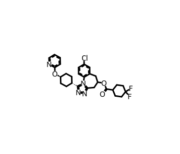 O=C(OC1Cc2cc(Cl)ccc2-n2c(nnc2[C@H]2CC[C@H](Oc3ccccn3)CC2)C1)C1CCC(F)(F)CC1